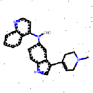 CN1CC=C(c2c[nH]c3ccc(N(C=O)c4ccnc5ccccc45)cc23)CC1